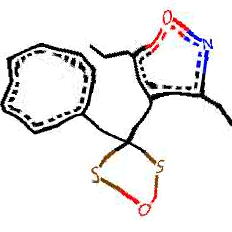 Cc1noc(C)c1C1(c2ccccc2)SOS1